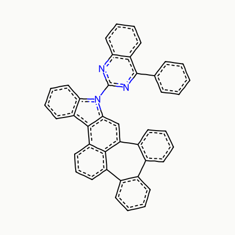 c1ccc(-c2nc(-n3c4ccccc4c4c5cccc6c5c(cc43)-c3ccccc3-c3ccccc3-6)nc3ccccc23)cc1